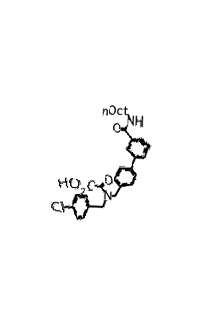 CCCCCCCCNC(=O)c1cccc(-c2ccc(CN(Cc3ccc(Cl)cc3)C(=O)C(=O)O)cc2)c1